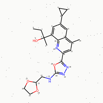 CCC(C)(O)c1cc(C2CC2)cc2c(C)cc(-c3nnc(NCC4OCCO4)o3)nc12